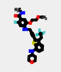 CNC(=O)c1cc(OCCOC)c(NCC#Cc2sc3c(NC4CCOCC4)cccc3c2CC(F)(F)F)cc1F